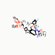 COc1cc(OCC(C)OP(=O)(OC(C)(C)C)OC(C)(C)C)ccc1-c1ccc2c(c1COc1cc(F)ccc1C)N(C)C(=O)C(C)(C)N2